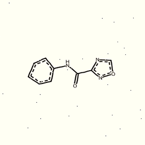 O=C(Nc1ccccc1)c1ncon1